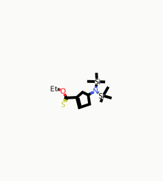 CCOC(=S)C1=CCC(N([Si](C)(C)C)[Si](C)(C)C)C1